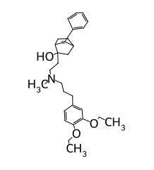 CCOc1ccc(CCCN(C)CCC2(O)CC3CCC2C=C3c2ccccc2)cc1OCC